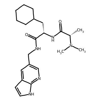 C[C@@H](C(=O)N[C@@H](CC1CCCCC1)C(=O)NCc1cnc2[nH]ccc2c1)N(C)C